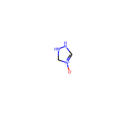 [O-][N+]1=CNNC1